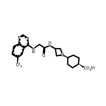 CCOC(=O)[C@H]1CC[C@@H](N2CC(NC(=O)CNc3ncnc4ccc(C(F)(F)F)cc34)C2)CC1